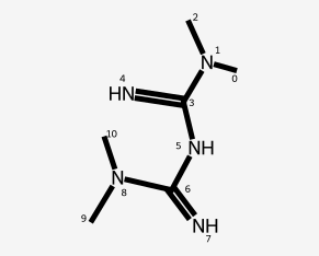 CN(C)C(=N)NC(=N)N(C)C